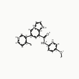 COc1ccc(NC(=O)c2cc(-c3cnccc3C)cn3ccnc23)nc1